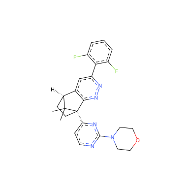 CC1(C)[C@H]2CC[C@]1(c1ccnc(N3CCOCC3)n1)c1nnc(-c3c(F)cccc3F)cc12